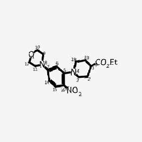 CCOC(=O)C1CCN(c2cc(N3CCOCC3)ccc2[N+](=O)[O-])CC1